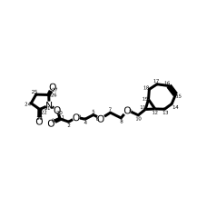 O=C(COCCOCCOCC1C2CCC#CCCC21)ON1C(=O)CCC1=O